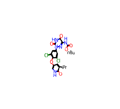 CCCCOC(=O)Nc1nn(-c2cc(Cl)c(Oc3c[nH]c(=O)c(C(C)C)c3)c(Cl)c2)c(=O)[nH]c1=O